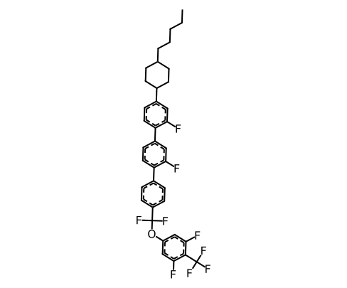 CCCCCC1CCC(c2ccc(-c3ccc(-c4ccc(C(F)(F)Oc5cc(F)c(C(F)(F)F)c(F)c5)cc4)c(F)c3)c(F)c2)CC1